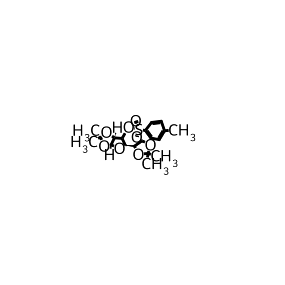 Cc1ccc(S(=O)(=O)OC2[C@@H](C3COC(C)(C)O3)O[C@@H]3OC(C)(C)O[C@@H]23)cc1